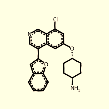 N[C@H]1CC[C@H](Oc2cc(Cl)c3cncc(-c4cc5ccccc5o4)c3c2)CC1